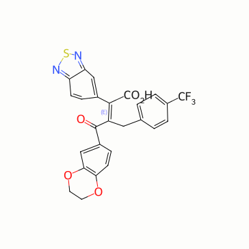 O=C(O)/C(=C(\Cc1ccc(C(F)(F)F)cc1)C(=O)c1ccc2c(c1)OCCO2)c1ccc2nsnc2c1